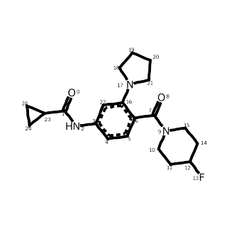 O=C(Nc1ccc(C(=O)N2CCC(F)CC2)c(N2CCCC2)c1)C1CC1